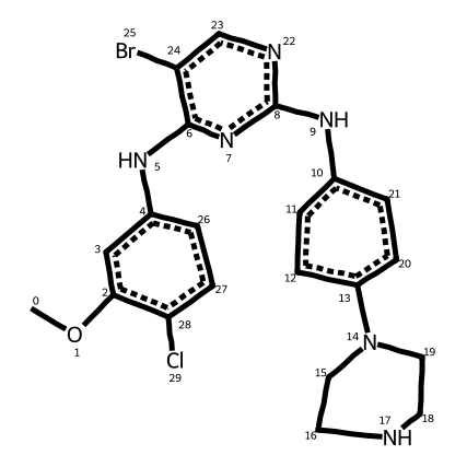 COc1cc(Nc2nc(Nc3ccc(N4CCNCC4)cc3)ncc2Br)ccc1Cl